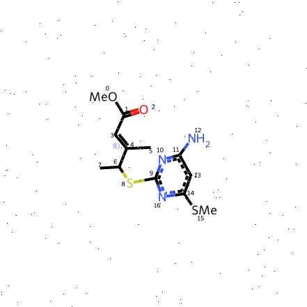 COC(=O)/C=C(\C)C(C)Sc1nc(N)cc(SC)n1